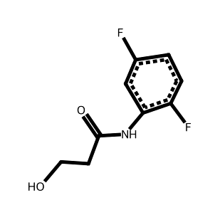 O=C(CCO)Nc1cc(F)ccc1F